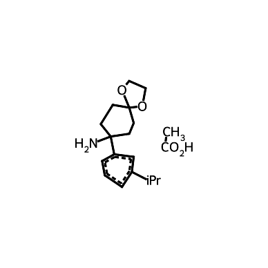 CC(=O)O.CC(C)c1cccc(C2(N)CCC3(CC2)OCCO3)c1